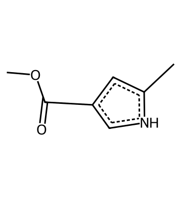 COC(=O)c1c[nH]c(C)c1